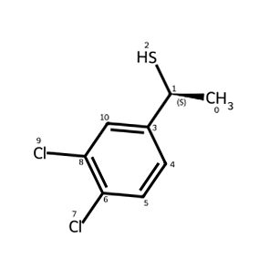 C[C@H](S)c1ccc(Cl)c(Cl)c1